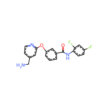 NCc1ccnc(Oc2cccc(C(=O)Nc3ccc(F)cc3F)c2)c1